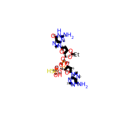 CCC(=O)O[C@H]1C[C@H](n2cnc3c(=O)[nH]c(N)nc32)O[C@@H]1CO[PH](=O)O[C@H]1C[C@H](n2cnc3c(N)ncnc32)O[C@@H]1CO[P@](=O)(O)S